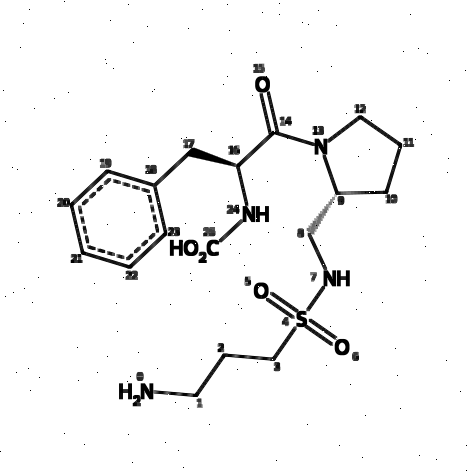 NCCCS(=O)(=O)NC[C@H]1CCCN1C(=O)[C@H](Cc1ccccc1)NC(=O)O